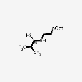 CCCCCCCCCCN[C@@H](S)C(C(F)(F)F)C(F)(F)F